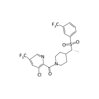 C[C@H](C1CCN(C(=O)c2ncc(C(F)(F)F)cc2Cl)CC1)S(=O)(=O)c1cccc(C(F)(F)F)c1